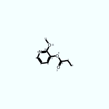 CCC(=O)Oc1cccnc1OC